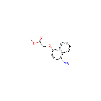 COC(=O)COc1ccc(N)c2ccccc12